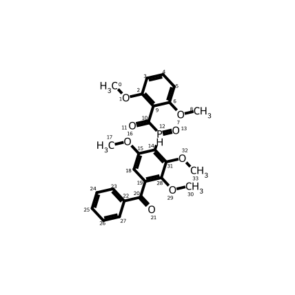 COc1cccc(OC)c1C(=O)[PH](=O)c1c(OC)cc(C(=O)c2ccccc2)c(OC)c1OC